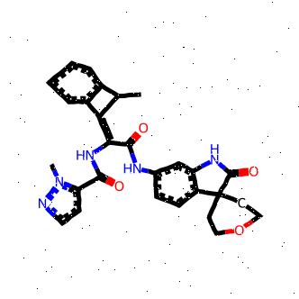 CC1C(=C(NC(=O)c2ccnn2C)C(=O)Nc2ccc3c(c2)NC(=O)C32CCOCC2)c2ccccc21